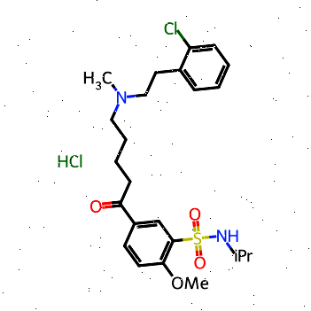 COc1ccc(C(=O)CCCCN(C)CCc2ccccc2Cl)cc1S(=O)(=O)NC(C)C.Cl